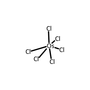 [Cl][Os]([Cl])([Cl])([Cl])([Cl])[Cl]